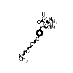 COCCOCCOCCOc1ccc(C[C@@H](CO)N(C(=O)O)C(C)(C)C)cc1